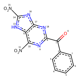 O=C(c1ccccc1)c1nc([N+](=O)[O-])c2[nH]c([N+](=O)[O-])nc2n1